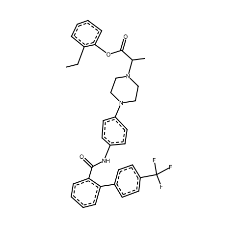 CCc1ccccc1OC(=O)C(C)N1CCN(c2ccc(NC(=O)c3ccccc3-c3ccc(C(F)(F)F)cc3)cc2)CC1